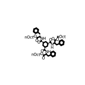 CCCCCCCCOC(=O)C(Cc1ccccc1)NC(=O)[C@@H]1C[C@H](C(=O)NC(Cc2ccccc2)C(=O)OCCCCCCCC)C[C@H](C(=O)N[C@@H](Cc2ccccc2)C(=O)OCCCCCCCC)C1